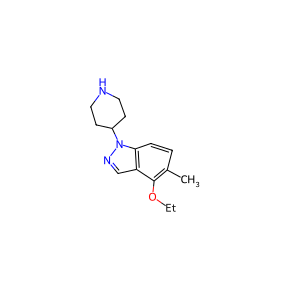 CCOc1c(C)ccc2c1cnn2C1CCNCC1